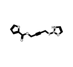 O=C(OCC#CCSN1NC=CO1)c1ccco1